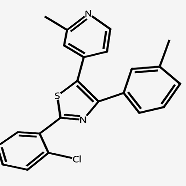 Cc1cccc(-c2nc(-c3ccccc3Cl)sc2-c2ccnc(C)c2)c1